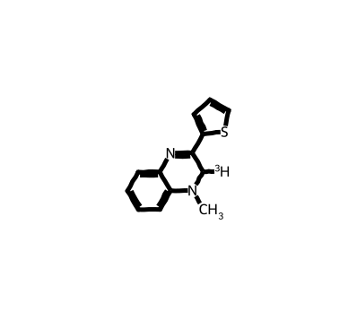 [3H]C1C(c2cccs2)=Nc2ccccc2N1C